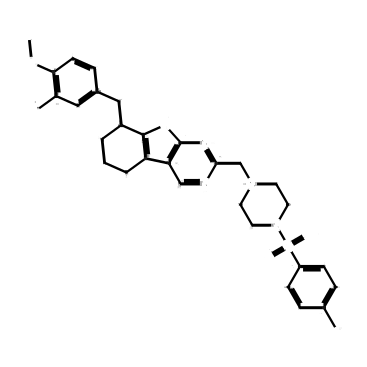 COc1ccc(CC2CCCc3c2sc2nc(CN4CCN(S(=O)(=O)c5ccc(C)cc5)CC4)n[c]c32)cc1Cl